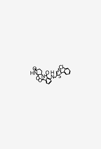 O=C1CCC(N2C(=O)c3cccc(NCc4cnc(-c5ccccc5Cl)s4)c3C2=O)C(=O)N1